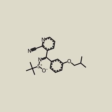 CC(C)COc1cccc(/C(=N\[S+]([O-])C(C)(C)C)c2cccnc2C#N)c1